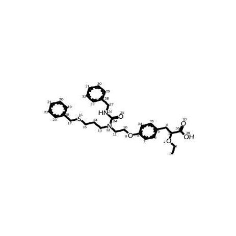 CCOC(Cc1ccc(OCCN(CCCSCc2ccccc2)C(=O)NCc2ccccc2)cc1)C(=O)O